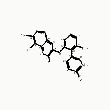 Cc1nc2c(F)c(F)ccc2cc1Cc1cccc(F)c1-c1ccc(F)nc1